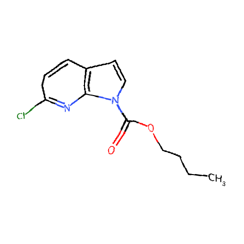 CCCCOC(=O)n1ccc2ccc(Cl)nc21